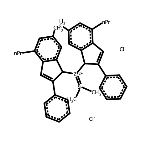 CCCc1cc(C)cc2c1C=C(c1ccccc1)[CH]2[Zr+2]([CH]1C(c2ccccc2)=Cc2c(CCC)cc(C)cc21)=[Si](C)C.[Cl-].[Cl-]